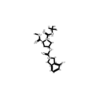 COC(=O)[C@@H]1CC(OC(=O)N2Cc3cccc(F)c3C2)CN1C(=O)OC(C)(C)C